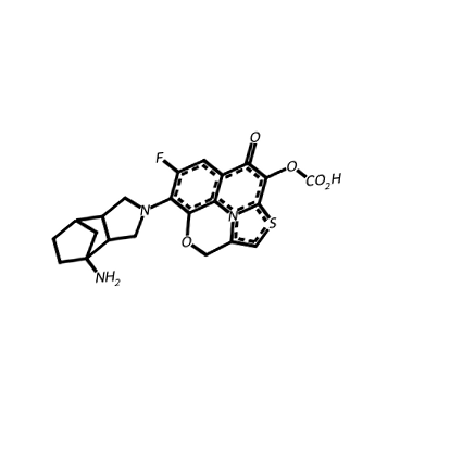 NC12CCC(C1)C1CN(c3c(F)cc4c(=O)c(OC(=O)O)c5scc6n5c4c3OC6)CC12